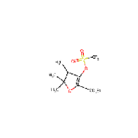 CCOC(=O)C1=C(OS(=O)(=O)C(F)(F)F)C(C)C(C)(C)O1